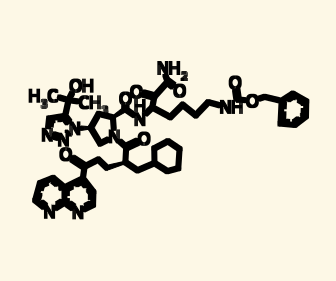 CC(C)(O)c1cnnn1[C@H]1C[C@@H](C(=O)NC(CCCCNC(=O)OCc2ccccc2)C(=O)C(N)=O)N(C(=O)[C@H](CCC(=O)c2ccnc3ncccc23)CC2CCCCC2)C1